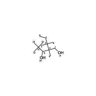 CCC(C)(C)C(C)(CO)C(O)C(C)(C)C